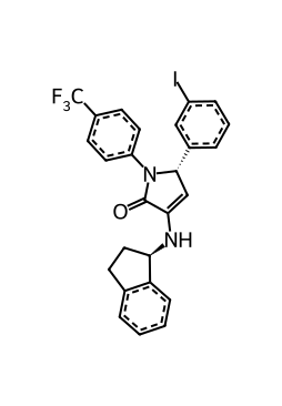 O=C1C(N[C@@H]2CCc3ccccc32)=C[C@@H](c2cccc(I)c2)N1c1ccc(C(F)(F)F)cc1